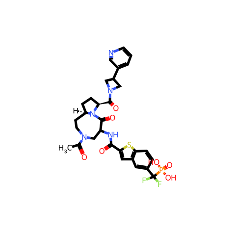 CC(=O)N1CC[C@H]2CC[C@@H](C(=O)N3CC(c4cccnc4)C3)N2C(=O)C(NC(=O)c2cc3cc(C(F)(F)P(=O)(O)O)ccc3s2)C1